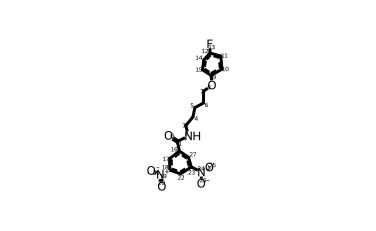 O=C(NCCCCCOc1ccc(F)cc1)c1cc([N+](=O)[O-])cc([N+](=O)[O-])c1